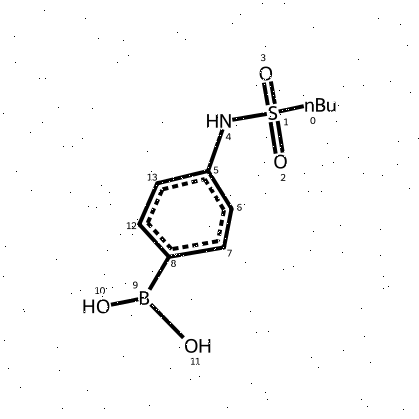 CCCCS(=O)(=O)Nc1ccc(B(O)O)cc1